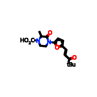 CC1C(=O)N(c2ccc(C=CC(=O)C(C)(C)C)o2)CCN1C(=O)O